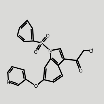 O=C(CCl)c1cn(S(=O)(=O)c2ccccc2)c2cc(Oc3cccnc3)ccc12